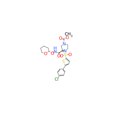 COC(=O)N1CCN(S(=O)(=O)c2ccc(-c3ccc(Cl)cc3)s2)[C@@H](C(=O)NOC2CCCCO2)C1